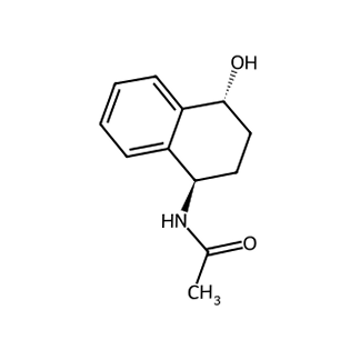 CC(=O)N[C@@H]1CC[C@@H](O)c2ccccc21